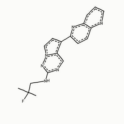 CC(C)(F)CNc1ncc2c(-c3ccc4ncccc4n3)ccn2n1